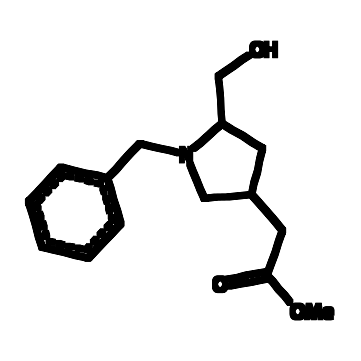 COC(=O)CC1CC(CO)N(Cc2ccccc2)C1